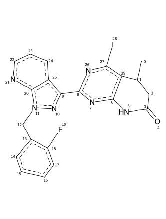 CC1CC(=O)Nc2nc(-c3nn(Cc4ccccc4F)c4ncccc34)nc(I)c21